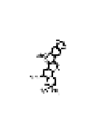 COc1cc2c(cc1-c1coc3c4c(c(OC)cc3c1=O)OC(C)(C)C=C4)OCO2